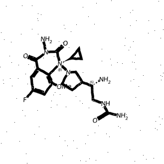 COc1cc(F)cc2c1[N@@+](C1CC1)(N1CCC([C@H](N)CNC(N)=O)C1)C(=O)N(N)C2=O